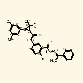 C/C(=N\NC(=O)c1cc(NC(=O)C2C(c3cc(Cl)cc(Cl)c3)C2(Cl)Cl)ccc1Cl)c1ccccc1